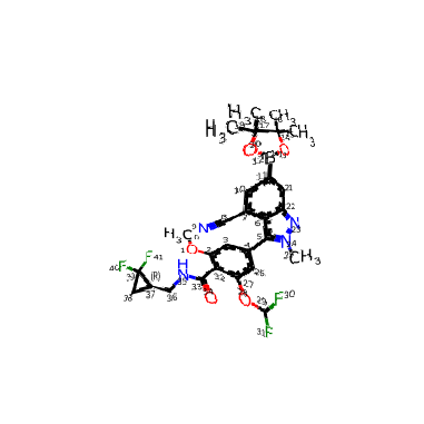 COc1cc(-c2c3c(C#N)cc(B4OC(C)(C)C(C)(C)O4)cc3nn2C)cc(OC(F)F)c1C(=O)NC[C@H]1CC1(F)F